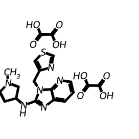 CN1CCC(Nc2nc3cccnc3n2Cc2cscn2)C1.O=C(O)C(=O)O.O=C(O)C(=O)O